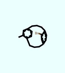 Cc1cc2ccc1CCCc1ccc(c(Br)c1)CCC2